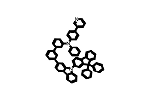 c1ccc(N(c2ccc(-c3cccnc3)cc2)c2cccc(-c3cccc(-c4ccc5c6ccccc6n(-c6ccc7c(c6)C(c6ccccc6)(c6ccccc6)c6ccccc6-7)c5c4)c3)c2)cc1